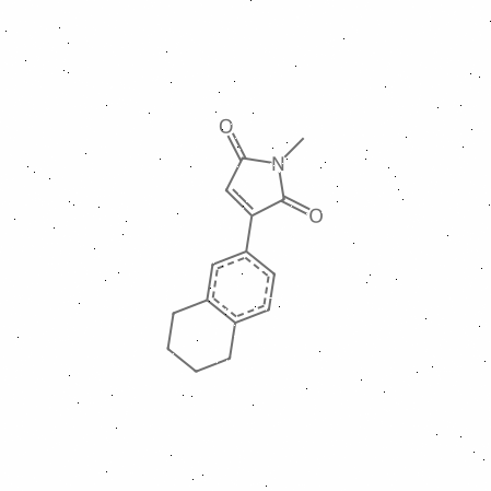 CN1C(=O)C=C(c2ccc3c(c2)CCCC3)C1=O